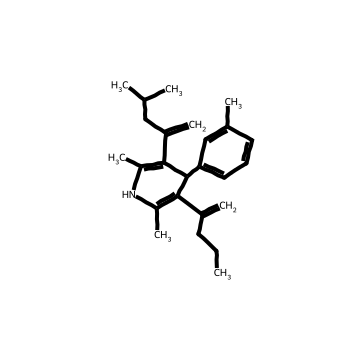 C=C(CCC)C1=C(C)NC(C)=C(C(=C)CC(C)C)C1c1cccc(C)c1